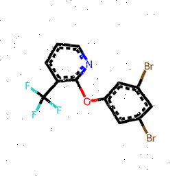 FC(F)(F)c1cccnc1Oc1cc(Br)cc(Br)c1